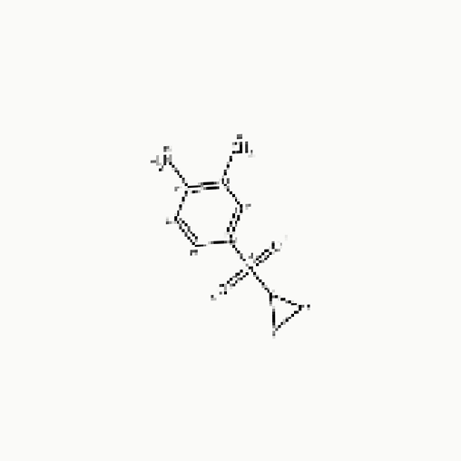 Cc1cc(S(=O)(=O)C2CC2)ccc1N